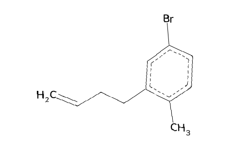 C=CCCc1cc(Br)ccc1C